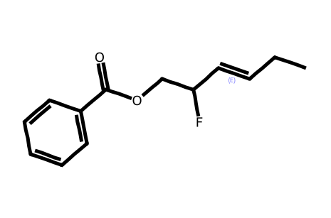 CC/C=C/C(F)COC(=O)c1ccccc1